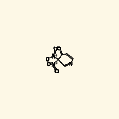 O=C1C=CN=CC1([N+](=O)[O-])[N+](=O)[O-]